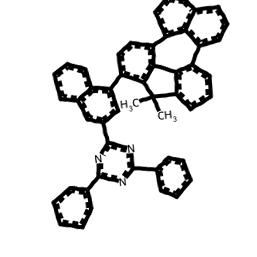 CC1(C)c2cccc3c2-c2c(ccc(-c4cc(-c5nc(-c6ccccc6)nc(-c6ccccc6)n5)cc5ccccc45)c21)-c1cccc2cccc-3c12